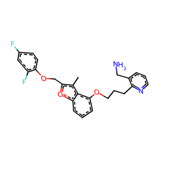 Cc1c(COc2ccc(F)cc2F)oc2cccc(OCCCc3ncccc3CN)c12